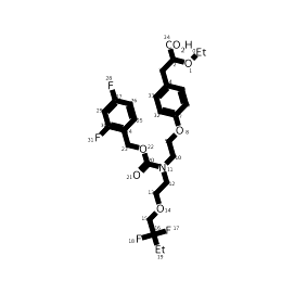 CCOC(Cc1ccc(OCCN(CCOCC(F)(F)CC)C(=O)OCc2ccc(F)cc2F)cc1)C(=O)O